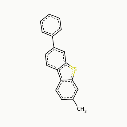 Cc1ccc2c(c1)sc1cc(-c3ccccc3)ccc12